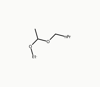 C[CH]OC(C)OCCCC